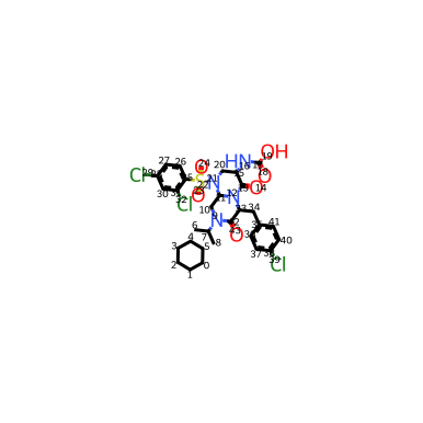 C1CCCCC1.CC(C)N1CC2N(C(=O)C(NC(=O)O)CN2S(=O)(=O)c2ccc(Cl)cc2Cl)C(Cc2ccc(Cl)cc2)C1=O